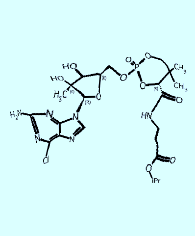 CC(C)OC(=O)CCNC(=O)[C@@H]1OP(=O)(OC[C@H]2O[C@@H](n3cnc4c(Cl)nc(N)nc43)[C@](C)(O)C2O)OCC1(C)C